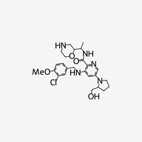 COc1ccc(CNc2cc(N3CCCC3CO)cnc2C(=O)NC(C)C2CNCCO2)cc1Cl